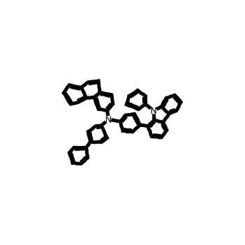 c1ccc(-c2ccc(N(c3ccc(-c4cccc5c6ccccc6n(-c6ccccc6)c45)cc3)c3ccc4ccc5ccccc5c4c3)cc2)cc1